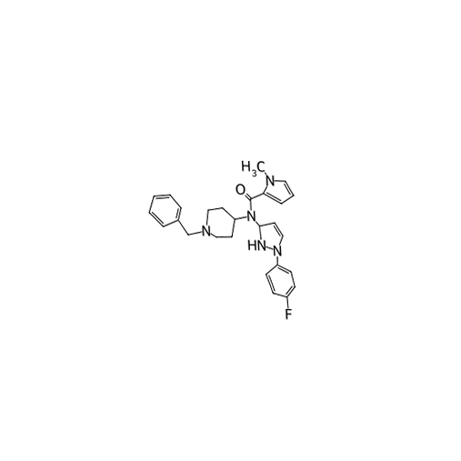 Cn1cccc1C(=O)N(C1CCN(Cc2ccccc2)CC1)C1C=CN(c2ccc(F)cc2)N1